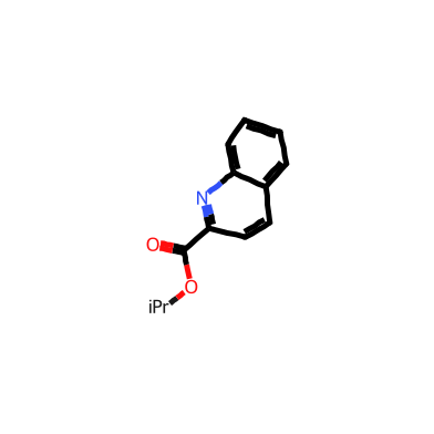 CC(C)OC(=O)c1ccc2ccccc2n1